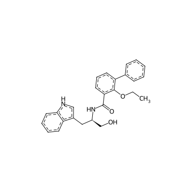 CCOc1c(C(=O)N[C@@H](CO)Cc2c[nH]c3ccccc23)cccc1-c1ccccc1